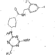 CNc1nc(C)nc(N[C@H]2CC[C@@H](C(=O)NCc3ccc(I)cc3C(F)(F)F)CC2)n1